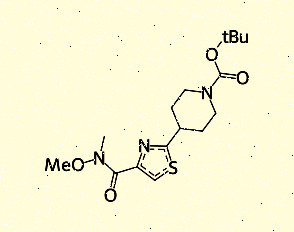 CON(C)C(=O)c1csc(C2CCN(C(=O)OC(C)(C)C)CC2)n1